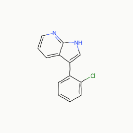 Clc1ccccc1-c1c[nH]c2ncccc12